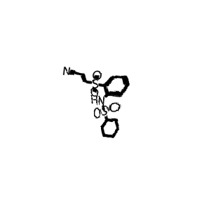 N#CC=CS(=O)(=O)c1ccccc1NS(=O)(=O)C1CCCCC1